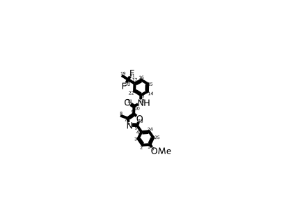 COc1ccc(-c2nc(C)c(C(=O)Nc3cccc(C(C)(F)F)c3)o2)cc1